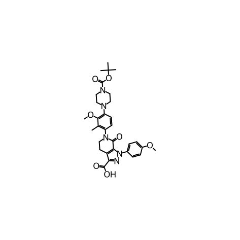 COc1ccc(-n2nc(C(=O)O)c3c2C(=O)N(c2ccc(N4CCN(C(=O)OC(C)(C)C)CC4)c(OC)c2C)CC3)cc1